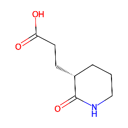 O=C(O)CC[C@@H]1CCCNC1=O